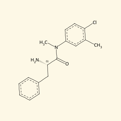 Cc1cc(N(C)C(=O)[C@@H](N)Cc2ccccc2)ccc1Cl